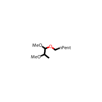 CCCCCCOC(OC)C(C)OC